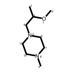 COC(C)CN1CCN(C)CC1